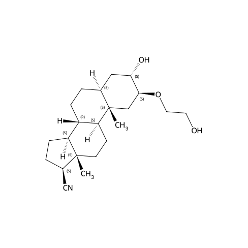 C[C@]12C[C@H](OCCO)[C@@H](O)C[C@@H]1CC[C@@H]1[C@@H]2CC[C@]2(C)[C@@H](C#N)CC[C@@H]12